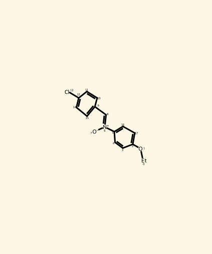 CCOc1ccc([N+]([O-])=Cc2ccc(Cl)cc2)cc1